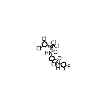 Cc1cc(NC(=O)c2cc(NC(=O)[C@@H]3[C@@H](c4cc(Cl)cc(Cl)c4)C3(Cl)Cl)ccc2Cl)ccc1F